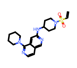 C=CS(=O)(=O)N1CCC(Nc2cc3c(N4CCCCC4)nccc3cn2)CC1